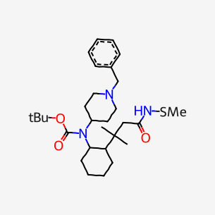 CSNC(=O)CC(C)(C)C1CCCCC1N(C(=O)OC(C)(C)C)C1CCN(Cc2ccccc2)CC1